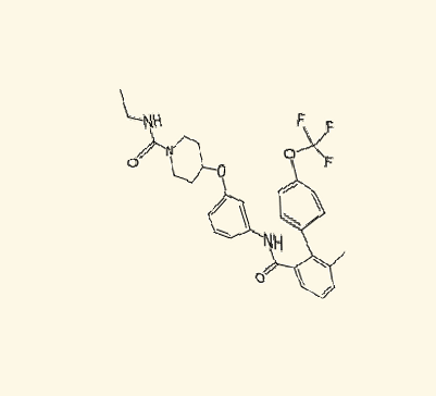 CCNC(=O)N1CCC(Oc2cccc(NC(=O)c3cccc(C)c3-c3ccc(OC(F)(F)F)cc3)c2)CC1